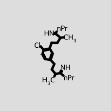 CCCC(=N)C(C)CCc1c[c]c(Cl)c(CCC(C)C(=N)CCC)c1